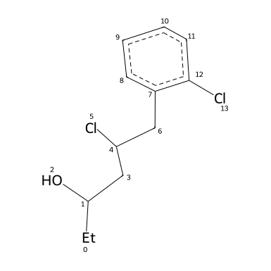 CCC(O)CC(Cl)Cc1ccccc1Cl